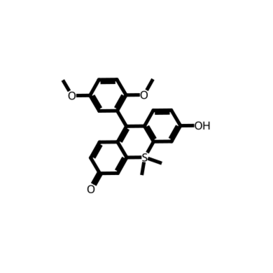 COc1ccc(OC)c(C2=C3C=CC(=O)C=C3S(C)(C)c3cc(O)ccc32)c1